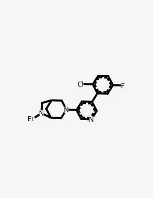 CCN1CC2CC1CN(c1cncc(-c3cc(F)ccc3Cl)c1)C2